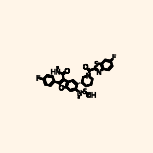 CNC(=O)c1c(-c2ccc(F)cc2)oc2cc(N(C)SO)c([C@H]3CCCN(C(=O)c4nc5ccc(F)cc5s4)C3)cc12